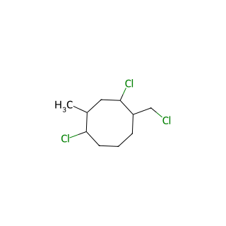 CC1CC(Cl)C(CCl)CCCC1Cl